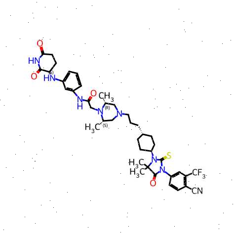 C[C@@H]1CN(CCC[C@H]2CC[C@H](N3C(=S)N(c4ccc(C#N)c(C(F)(F)F)c4)C(=O)C3(C)C)CC2)C[C@H](C)N1CC(=O)Nc1cccc(N[C@H]2CCC(=O)NC2=O)c1